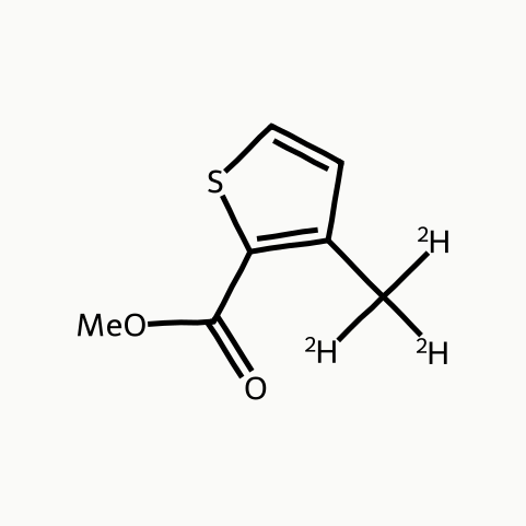 [2H]C([2H])([2H])c1ccsc1C(=O)OC